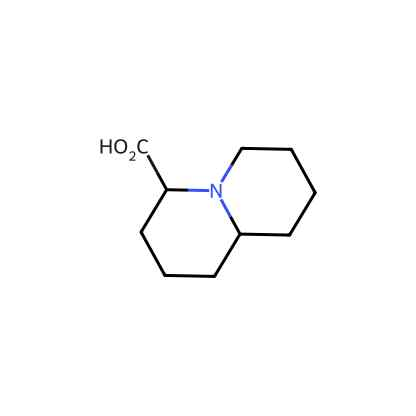 O=C(O)C1CCCC2CCCCN21